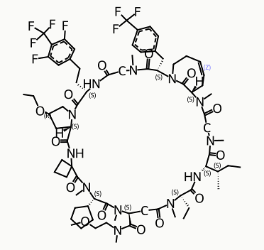 CCO[C@@H]1C[C@H]2C(=O)NC3(CCC3)C(=O)N(C)[C@@H](C3CCCC3)C(=O)N(C)[C@H](C(=O)N(C)CCOC)CC(=O)N(C)[C@@H](CC)C(=O)N[C@@H]([C@@H](C)CC)C(=O)N(C)CC(=O)N(C)[C@H]3C/C=C\CCN(C3=O)[C@@H](Cc3ccc(C(F)(F)F)cc3)C(=O)N(C)CC(=O)N[C@@H](CCc3cc(F)c(C(F)(F)F)c(F)c3)C(=O)N2C1